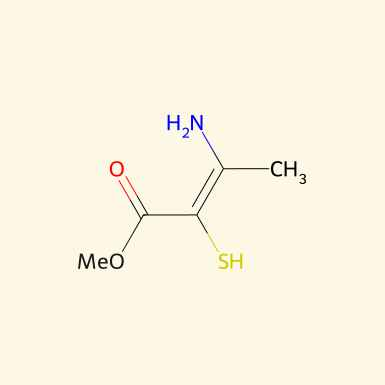 COC(=O)/C(S)=C(/C)N